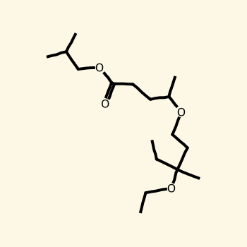 CCOC(C)(CC)CCOC(C)CCC(=O)OCC(C)C